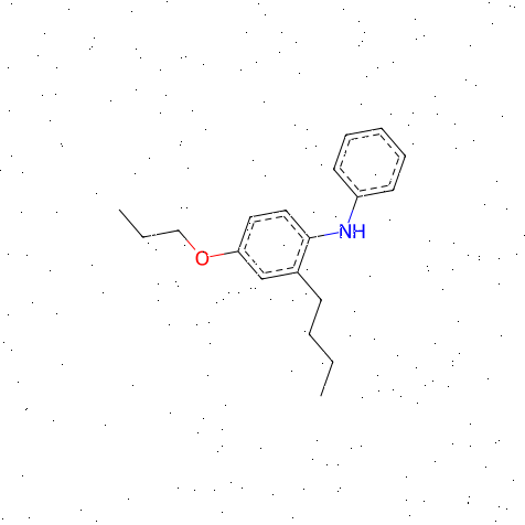 CCCCc1cc(OCCC)ccc1Nc1ccccc1